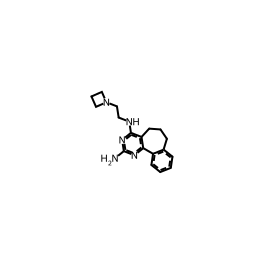 Nc1nc(NCCN2CCC2)c2c(n1)-c1ccccc1CCC2